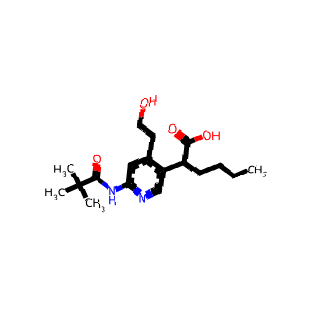 CCCCC(C(=O)O)c1cnc(NC(=O)C(C)(C)C)cc1CCO